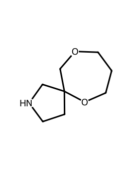 C1COCC2(CCNC2)OC1